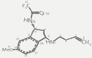 C=CCCNC1C[C@H](NC(=O)C(F)(F)F)c2cc(OC)ccc21